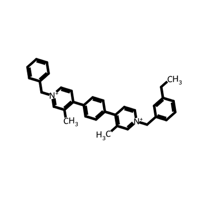 CCc1cccc(C[n+]2ccc(-c3ccc(-c4cc[n+](Cc5ccccc5)cc4C)cc3)c(C)c2)c1